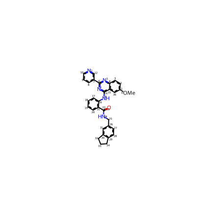 COc1ccc2nc(-c3cccnc3)nc(Nc3ccccc3C(=O)NCc3ccc4c(c3)CCC4)c2c1